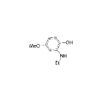 CCNc1cc(OC)ccc1O